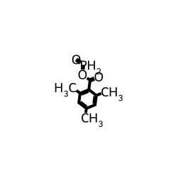 Cc1cc(C)c(C(=O)O[PH2]=O)c(C)c1